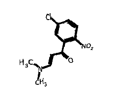 CN(C)/C=C/C(=O)c1cc(Cl)ccc1[N+](=O)[O-]